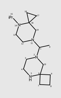 CC(N1CCNC2(CCC2)C1)N1CCN(C(C)C)C2(CC2)C1